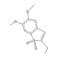 CCC1=Cc2cc(OC)c(OC)cc2S1(=O)=O